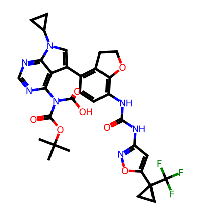 CC(C)(C)OC(=O)N(C(=O)O)c1ncnc2c1c(-c1ccc(NC(=O)Nc3cc(C4(C(F)(F)F)CC4)on3)c3c1CCO3)cn2C1CC1